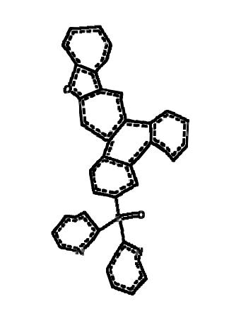 O=P(c1ccc2c(c1)c1ccccc1c1cc3c(cc21)oc1ccccc13)(c1ccccn1)c1ccccn1